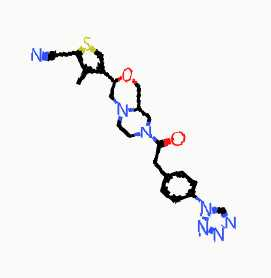 Cc1c(C2CN3CCN(C(=O)Cc4ccc(-n5cnnn5)cc4)CC3CO2)csc1C#N